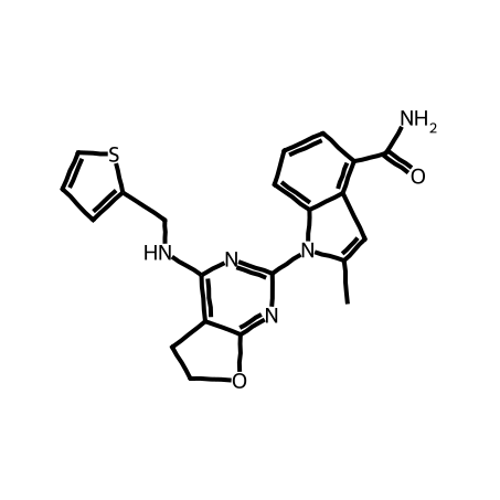 Cc1cc2c(C(N)=O)cccc2n1-c1nc(NCc2cccs2)c2c(n1)OCC2